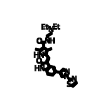 CCN(CC)CCNC(=O)c1c(C)[nH]c(/C=C2\C(=O)Nc3ccc(-c4cnn(-c5nccs5)c4)cc32)c1C